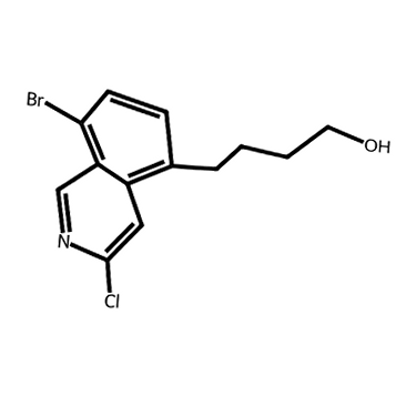 OCCCCc1ccc(Br)c2cnc(Cl)cc12